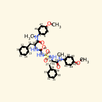 COc1ccc(N(C)C(=O)[C@H](Cc2ccccc2)NC(=O)NS(=O)(=O)N[C@@H](Cc2ccccc2)C(=O)N(C)c2ccc(OC)cc2)cc1